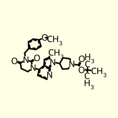 COc1ccc(CN2C(=O)CCN(c3ccnc4c3cc(C)n4C3CCN(C(=O)OC(C)(C)C)CC3)C2=O)cc1